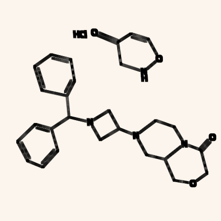 Cl.O=C1C=CONC1.O=C1COCC2CN(C3CN(C(c4ccccc4)c4ccccc4)C3)CCN12